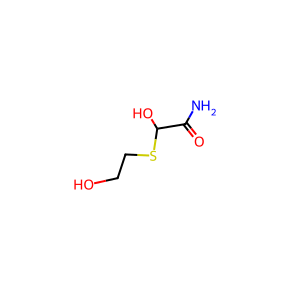 NC(=O)C(O)SCCO